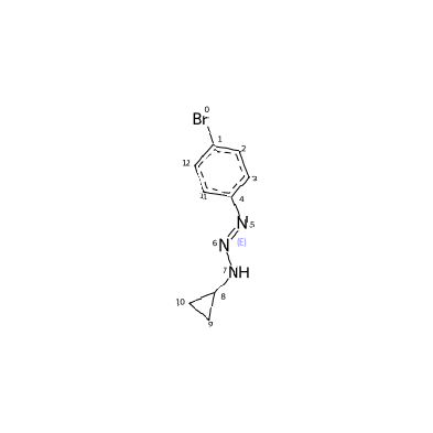 Brc1ccc(/N=N/NC2CC2)cc1